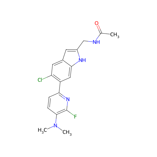 CC(=O)NCc1cc2cc(Cl)c(-c3ccc(N(C)C)c(F)n3)cc2[nH]1